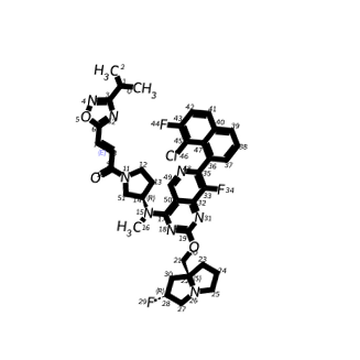 CC(C)c1noc(/C=C/C(=O)N2CC[C@@H](N(C)c3nc(OC[C@@]45CCCN4C[C@H](F)C5)nc4c(F)c(-c5cccc6ccc(F)c(Cl)c56)ncc34)C2)n1